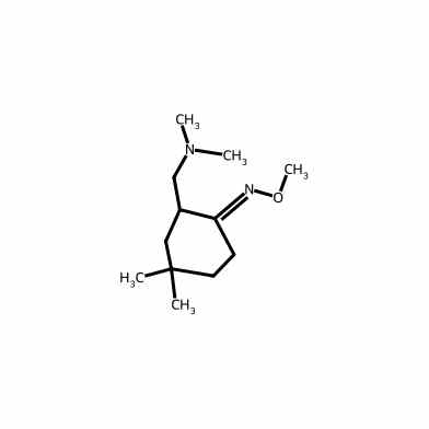 CON=C1CCC(C)(C)CC1CN(C)C